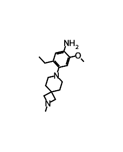 CCc1cc(N)c(OC)cc1N1CCC2(CC1)CN(C)C2